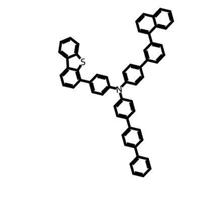 c1ccc(-c2ccc(-c3ccc(N(c4ccc(-c5cccc(-c6cccc7ccccc67)c5)cc4)c4ccc(-c5cccc6c5sc5ccccc56)cc4)cc3)cc2)cc1